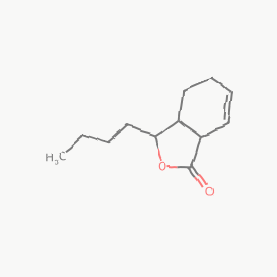 CCCCC1OC(=O)C2C=CCCC12